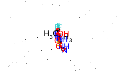 C/C(=N\NC(=O)c1ccc(C(=O)NCc2ccncc2)s1)c1nn(C)c(-c2ccc(C(F)(F)F)cc2)c1O